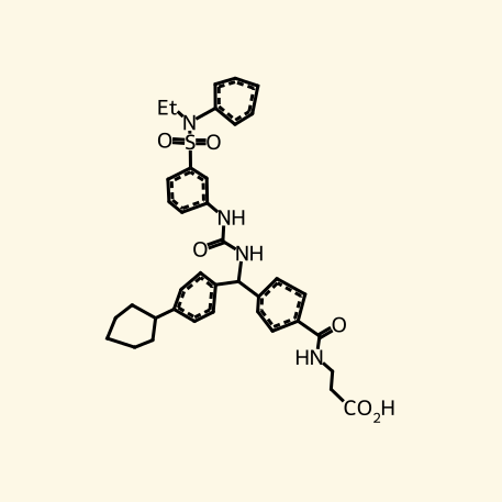 CCN(c1ccccc1)S(=O)(=O)c1cccc(NC(=O)NC(c2ccc(C(=O)NCCC(=O)O)cc2)c2ccc(C3CCCCC3)cc2)c1